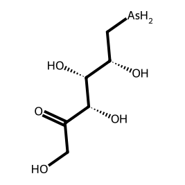 O=C(CO)[C@@H](O)[C@H](O)[C@@H](O)C[AsH2]